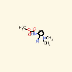 CCOC(=O)C(=O)Nc1cccc(N(C)CC)c1C#N